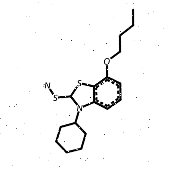 CCCCOc1cccc2c1SC(S[N])N2C1CCCCC1